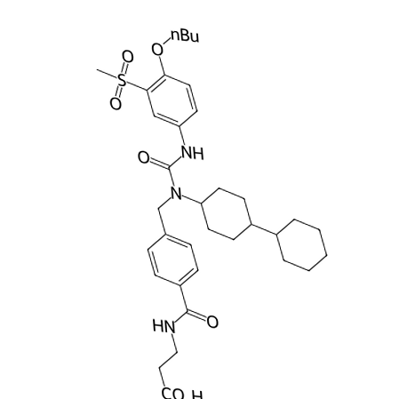 CCCCOc1ccc(NC(=O)N(Cc2ccc(C(=O)NCCC(=O)O)cc2)C2CCC(C3CCCCC3)CC2)cc1S(C)(=O)=O